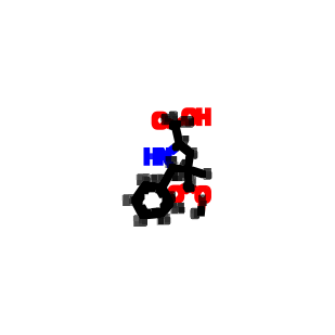 COC(=O)C1(C)CC(C(=O)O)NC1c1ccccc1